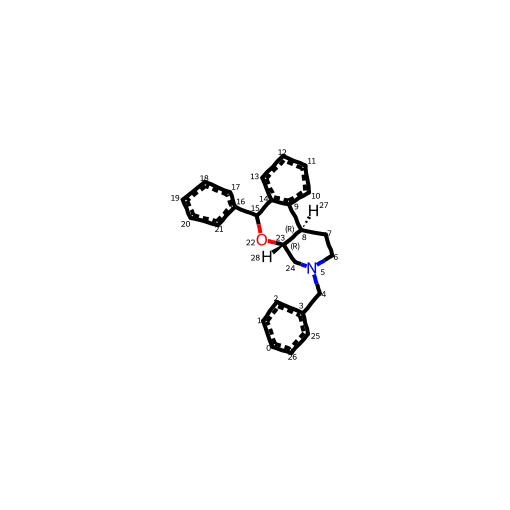 c1ccc(CN2CC[C@@H]3c4ccccc4C(c4ccccc4)O[C@H]3C2)cc1